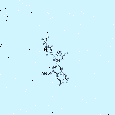 CSc1nc(N2C[C@@H](C)O[C@@H](c3cnn(C4CC4)c3)C2)nc2nc(C)c(C)nc12